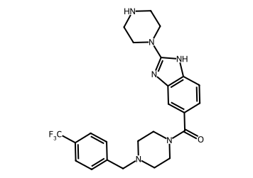 O=C(c1ccc2[nH]c(N3CCNCC3)nc2c1)N1CCN(Cc2ccc(C(F)(F)F)cc2)CC1